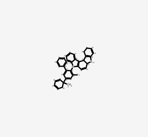 CC1(c2cc(F)c(-n3c4c(c5ccccc53)C3C5=C(C=CCC5)SC3C=C4)c(-c3ccccc3)c2)C=CC=CC1